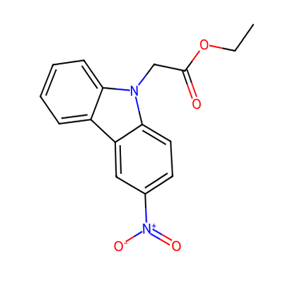 CCOC(=O)Cn1c2ccccc2c2cc([N+](=O)[O-])ccc21